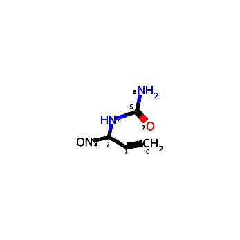 C=CC(N=O)NC(N)=O